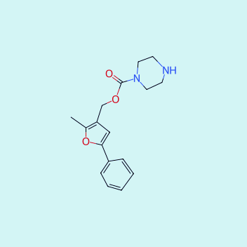 Cc1oc(-c2ccccc2)cc1COC(=O)N1CCNCC1